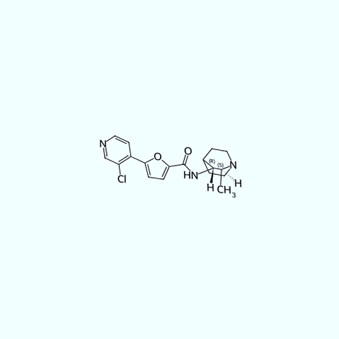 C[C@H]1[C@H](NC(=O)c2ccc(-c3ccncc3Cl)o2)C2CCN1CC2